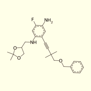 CC(C)(C#Cc1cc(N)c(F)cc1NCC1COC(C)(C)O1)COCc1ccccc1